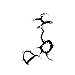 NC(=O)C(=O)NCCc1ccc(Cl)c(OC2CCCC2)c1